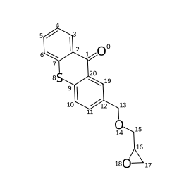 O=c1c2ccccc2sc2ccc(COCC3CO3)cc12